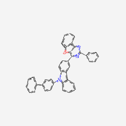 c1ccc(-c2ccc(-n3c4ccccc4c4cc(-c5nc(-c6ccccc6)nc6c5oc5ccccc56)ccc43)cc2)cc1